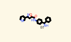 CCNC(c1ccccc1)c1ccc(NC(=O)C2CC(c3cccnc3)=NO2)cc1